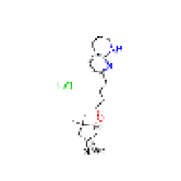 CN[C@@H]1C[C@@H](OCCCCc2ccc3c(n2)NCCC3)C(C)(C)C1.Cl